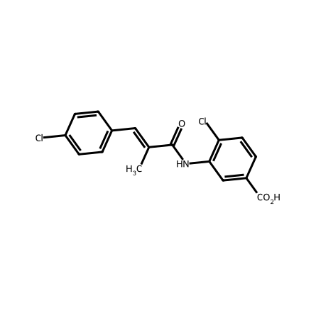 C/C(=C\c1ccc(Cl)cc1)C(=O)Nc1cc(C(=O)O)ccc1Cl